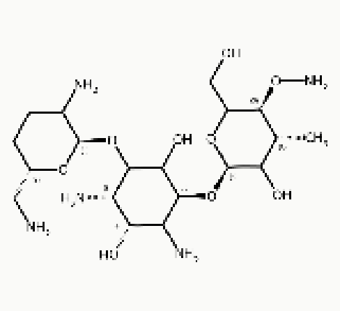 C[C@@H]1C(O)[C@@H](O[C@@H]2C(O)C(O[C@H]3O[C@H](CN)CCC3N)[C@@H](N)[C@@H](O)C2N)OC(CO)[C@H]1ON